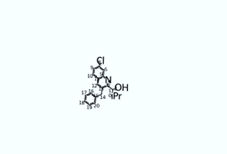 CC(C)C(O)c1nc2cc(Cl)ccc2cc1Cc1ccccc1